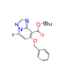 CC(C)(C)OC(=O)c1c(OCc2ccccc2)cc(I)n2ncnc12